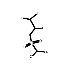 N#CC(Cl)S(=O)(=O)CC(F)C(F)F